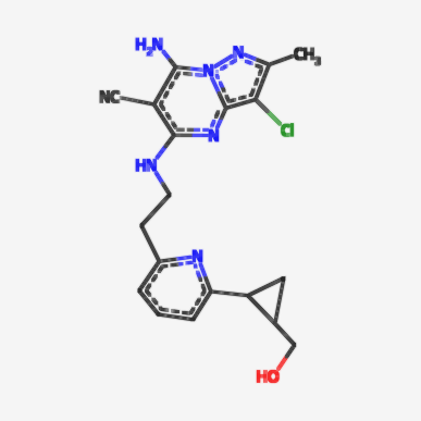 Cc1nn2c(N)c(C#N)c(NCCc3cccc(C4CC4CO)n3)nc2c1Cl